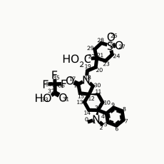 CN(C)[C@]1(c2ccccc2)CC[C@@]2(CC1)CC(=O)N(CCC1(C(=O)O)CCS(=O)(=O)CC1)C2.O=C(O)C(F)(F)F